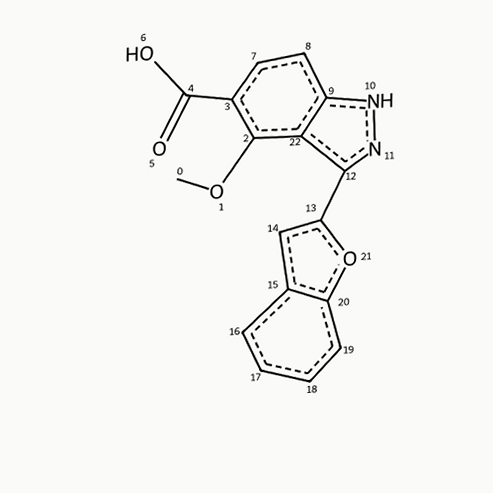 COc1c(C(=O)O)ccc2[nH]nc(-c3cc4ccccc4o3)c12